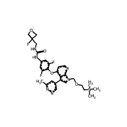 Cc1cc(-c2cn(COCC[Si](C)(C)C)c3nccc(Oc4c(F)cc(NC(=O)NCC5(F)COC5)cc4F)c23)cnn1